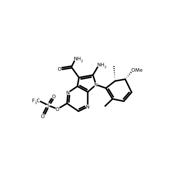 CO[C@@H]1C=CC(C)=C(n2c(N)c(C(N)=O)c3nc(OS(=O)(=O)C(F)(F)F)cnc32)[C@@H]1C